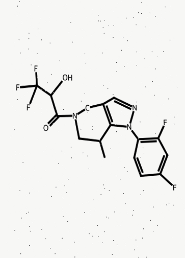 CC1CN(C(=O)C(O)C(F)(F)F)Cc2cnn(-c3ccc(F)cc3F)c21